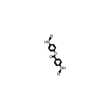 N#CNc1ccc(OC(=O)c2ccc(NC#N)cc2)cc1